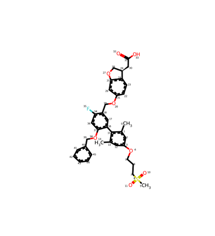 Cc1cc(OCCCS(C)(=O)=O)cc(C)c1-c1cc(COc2ccc3c(c2)OC[C@H]3CC(=O)O)c(F)cc1OCc1ccccc1